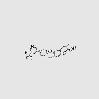 CC(Cc1ccc2c(c1)OC1(CC2)CCN(c2cncc(C(F)(F)F)c2)CC1)C(=O)O